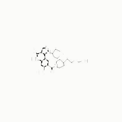 CCOCCC1CCN(C(=O)c2cc3c(cc2C)[nH]c(=O)c2cnn(C4CCOCC4)c23)CC1